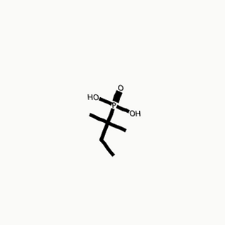 CCC(C)(C)P(=O)(O)O